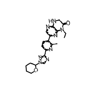 CCN1C(=O)CNc2ncc(-c3ccc(-c4ncn(C5CCCCO5)n4)nc3C)nc21